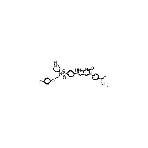 NC(=O)c1ccc(-n2cc3cc(-c4ccc(S(=O)(=O)N(CCOc5ccc(F)cc5)C5CCNCC5)cc4)[nH]c3nc2=O)cc1